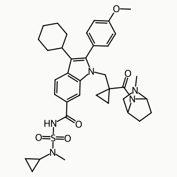 COc1ccc(-c2c(C3CCCCC3)c3ccc(C(=O)NS(=O)(=O)N(C)C4CC4)cc3n2CC2(C(=O)N3C4CCC3N(C)C4)CC2)cc1